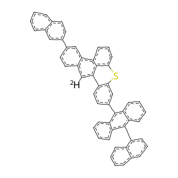 [2H]c1c2c3c(cccc3c3cc(-c4ccc5ccccc5c4)ccc13)Sc1cc(-c3c4ccccc4c(-c4cccc5ccccc45)c4ccccc34)ccc1-2